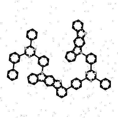 c1ccc(-c2cccc(-c3nc(-c4ccccc4)nc(-c4cccc(-n5c6ccccc6c6cc7c(cc65)oc5c(-c6ccc(-c8nc(-c9ccccc9)nc(-c9cccc(-n%10c%11ccccc%11c%11cc%12c(cc%11%10)oc%10ccccc%10%12)c9)n8)cc6)cccc57)c4)n3)c2)cc1